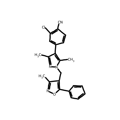 Cc1noc(-c2ccccc2)c1Cn1nc(C)c(-c2ccc(C#N)c(Cl)c2)c1C